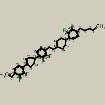 CCCCCc1ccc(C2CCC(CCc3ccc(C4CC=C(c5ccc(CC)c(F)c5F)CC4)c(F)c3F)CC2)c(F)c1F